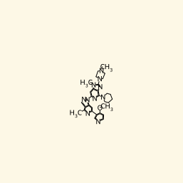 COc1ccncc1-c1cc2c(cnn2-c2cc3c(nc(N4CCN(C)CC4)n3C)c(N3CCCCC3)n2)c(C)n1